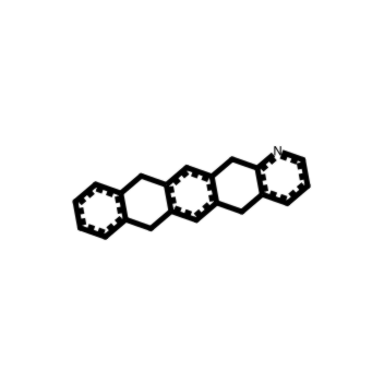 c1ccc2c(c1)Cc1cc3c(cc1C2)Cc1ncccc1C3